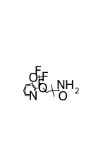 CC(C)(COc1ncccc1OC(F)(F)F)C(N)=O